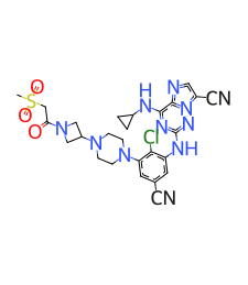 CS(=O)(=O)CC(=O)N1CC(N2CCN(c3cc(C#N)cc(Nc4nc(NC5CC5)c5ncc(C#N)n5n4)c3Cl)CC2)C1